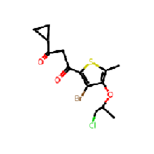 Cc1sc(C(=O)CC(=O)C2CC2)c(Br)c1OC(C)CCl